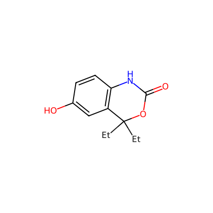 CCC1(CC)OC(=O)Nc2ccc(O)cc21